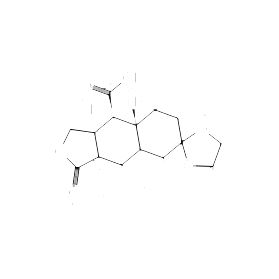 C[C@H]1OC(=O)[C@@H]2C[C@@H]3CC4(CC[C@H]3[C@H](C(=O)O)[C@H]12)OCCO4